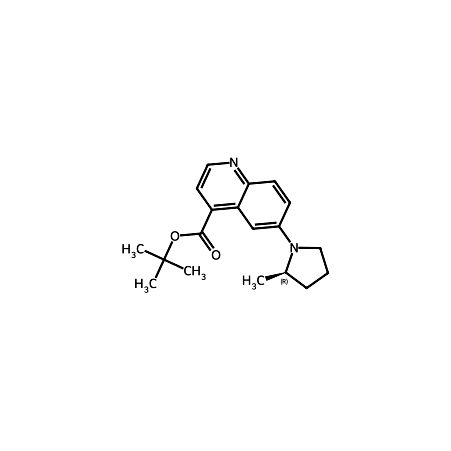 C[C@@H]1CCCN1c1ccc2nccc(C(=O)OC(C)(C)C)c2c1